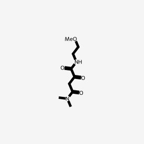 COCCNC(=O)C(=O)CC(=O)N(C)C